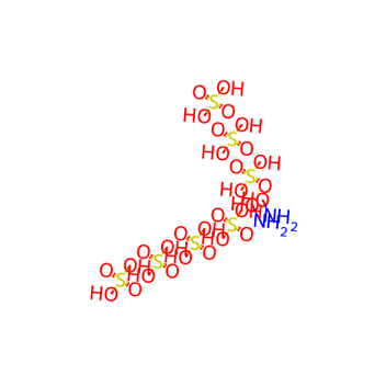 NO.NO.O=S(=O)(O)O.O=S(=O)(O)O.O=S(=O)(O)O.O=S(=O)(O)O.O=S(=O)(O)O.O=S(=O)(O)O.O=S(=O)(O)O